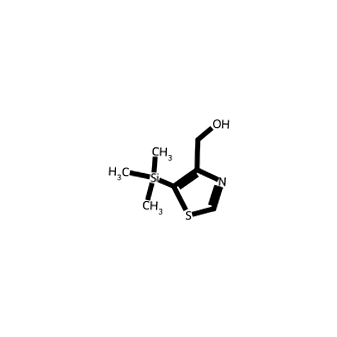 C[Si](C)(C)c1scnc1CO